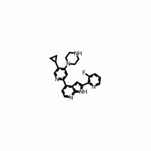 Fc1cccnc1-c1cc2c(-c3cc(N4CCNCC4)c(C4CC4)cn3)ccnc2[nH]1